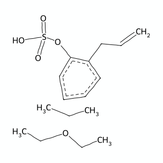 C=CCc1ccccc1OS(=O)(=O)O.CCC.CCOCC